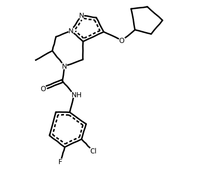 CC1Cn2ncc(OC3CCCC3)c2CN1C(=O)Nc1ccc(F)c(Cl)c1